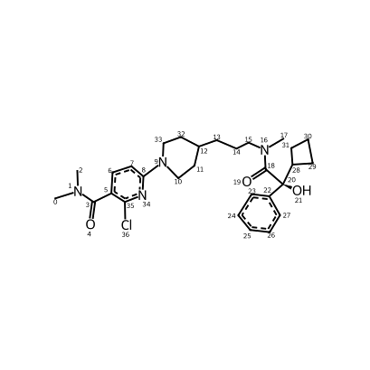 CN(C)C(=O)c1ccc(N2CCC(CCCN(C)C(=O)[C@@](O)(c3ccccc3)C3CCC3)CC2)nc1Cl